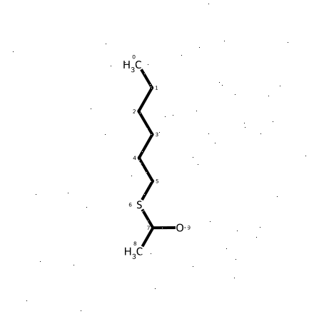 CCCCCCSC(C)[O]